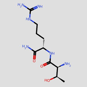 C[C@@H](O)[C@H](N)C(=O)N[C@@H](CCCNC(=N)N)C(N)=O